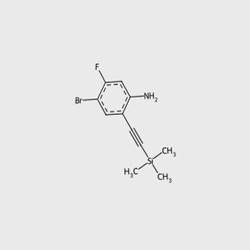 C[Si](C)(C)C#Cc1cc(Br)c(F)cc1N